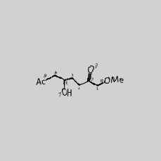 COCC(=O)CCC(O)CC(C)=O